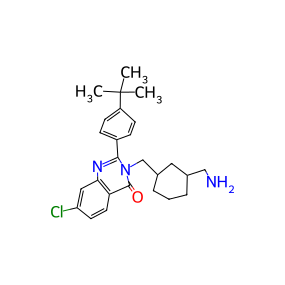 CC(C)(C)c1ccc(-c2nc3cc(Cl)ccc3c(=O)n2CC2CCCC(CN)C2)cc1